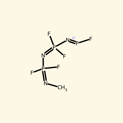 CN=P(F)(F)N=P(F)(F)/N=P/F